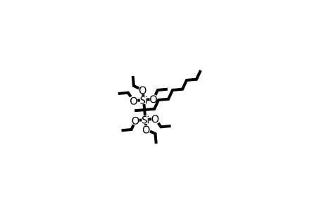 CCCCCCCCC(C)([Si](OCC)(OCC)OCC)[Si](OCC)(OCC)OCC